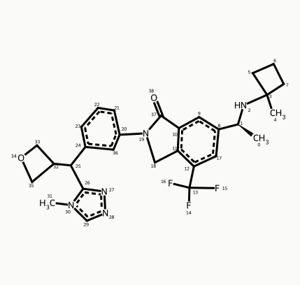 C[C@H](NC1(C)CCC1)c1cc2c(c(C(F)(F)F)c1)CN(c1cccc(C(c3nncn3C)C3COC3)c1)C2=O